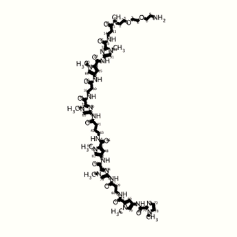 CN(CCOCCOCCN)C(=O)CCNC(=O)c1nc(NC(=O)c2cc(NC(=O)CCNC(=O)c3nc(NC(=O)CCCNC(=O)c4cc(NC(=O)c5nc(NC(=O)CCNC(=O)c6cc(NC(=O)c7nccn7C)cn6C)cn5C)cn4C)cn3C)cn2C)cn1C